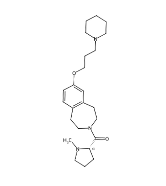 CN1CCC[C@H]1C(=O)N1CCc2ccc(OCCCN3CCCCC3)cc2CC1